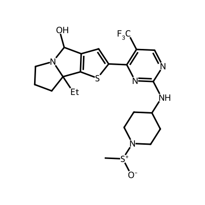 CCC12CCCN1C(O)c1cc(-c3nc(NC4CCN([S+](C)[O-])CC4)ncc3C(F)(F)F)sc12